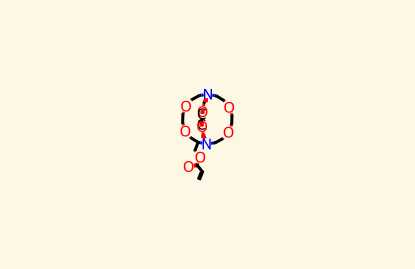 C=CC(=O)OCC1COCCOCCN2CCOCCOCCN1CCOCCOCC2